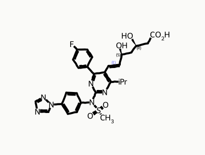 CC(C)c1nc(N(c2ccc(-n3cncn3)cc2)S(C)(=O)=O)nc(-c2ccc(F)cc2)c1/C=C/[C@@H](O)C[C@@H](O)CC(=O)O